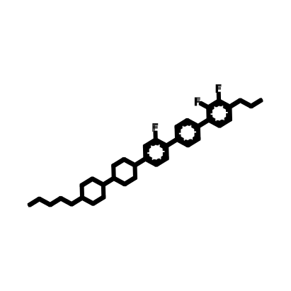 CCCCCC1CCC(C2CCC(c3ccc(-c4ccc(-c5ccc(CCC)c(F)c5F)cc4)c(F)c3)CC2)CC1